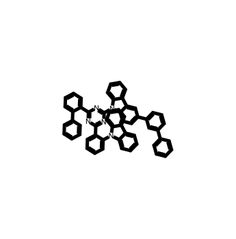 c1ccc(-c2cccc(-c3ccc4c(c3)c3ccccc3n4-c3nc(-c4ccccc4-c4ccccc4)nc(-c4ccccc4-n4c5ccccc5c5ccccc54)n3)c2)cc1